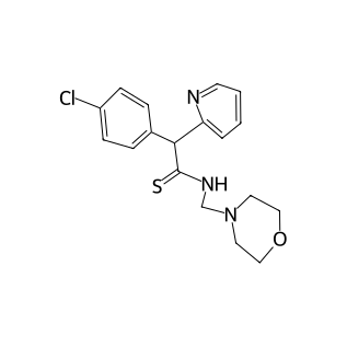 S=C(NCN1CCOCC1)C(c1ccc(Cl)cc1)c1ccccn1